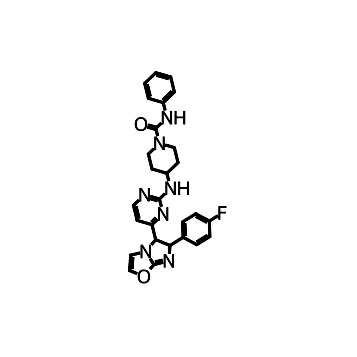 O=C(Nc1ccccc1)N1CCC(Nc2nccc(C3C(c4ccc(F)cc4)N=C4OC=CN43)n2)CC1